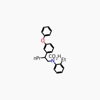 CCCC(CN(C(=O)O)c1ccccc1CC)c1cccc(Oc2ccccc2)c1